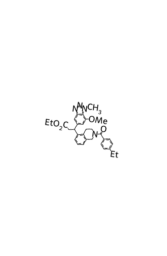 CCOC(=O)CC(c1cc(OC)c2c(c1)nnn2C)c1cccc2c1CCN(C(=O)c1ccc(CC)cc1)C2